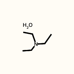 CCN(CC)CC.O